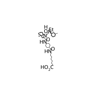 CCN(c1cccc(C)c1)C(O)Cn1c(C(=O)N[C@H]2CC[C@H](C(=O)NCCCCCCCC(=O)O)CC2)cc2sccc21